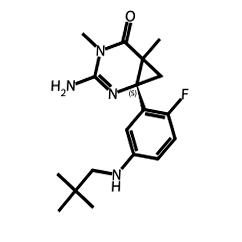 CN1C(=O)C2(C)C[C@]2(c2cc(NCC(C)(C)C)ccc2F)N=C1N